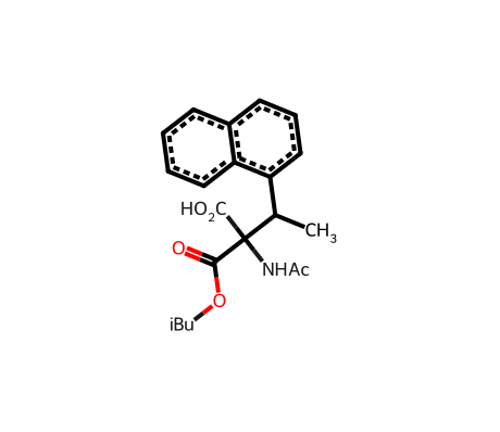 CCC(C)OC(=O)C(NC(C)=O)(C(=O)O)C(C)c1cccc2ccccc12